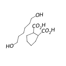 O=C(O)C1CCCCC1C(=O)O.OCCCCCCO